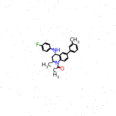 CC(=O)N1c2ccc(-c3cccc(C)c3)cc2[C@H](Nc2ccc(F)cc2)C[C@@H]1C